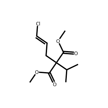 COC(=O)C(CC=CCl)(C(=O)OC)C(C)C